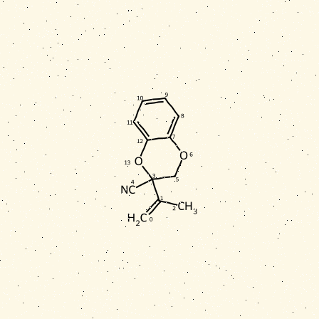 C=C(C)C1(C#N)COc2ccccc2O1